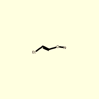 CCC=CO[N]